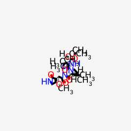 COC(=O)C(C[C@@H]1CCNC1=O)NC(=O)[C@@H]1[C@H]2[C@@H](CN1C(=O)[C@@H](NC(=O)OC(C)(C)C)C(C)(C)C)C2(C)C